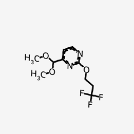 COC(OC)c1ccnc(OCCC(F)(F)F)n1